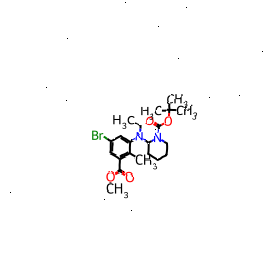 CCN(c1cc(Br)cc(C(=O)OC)c1C)C1CCCCN1C(=O)OC(C)(C)C